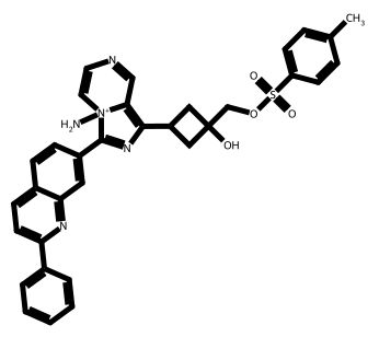 Cc1ccc(S(=O)(=O)OCC2(O)CC(C3=C4C=NC=C[N+]4(N)C(c4ccc5ccc(-c6ccccc6)nc5c4)=N3)C2)cc1